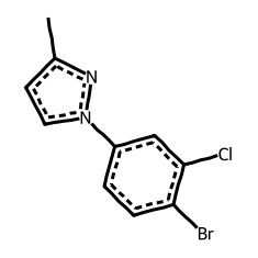 Cc1ccn(-c2ccc(Br)c(Cl)c2)n1